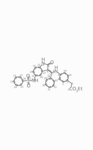 CCOC(=O)Cc1ccc(N/C(=C2\C(=O)Nc3ccc(NS(=O)(=O)c4ccccc4)cc32)c2ccccc2)cc1